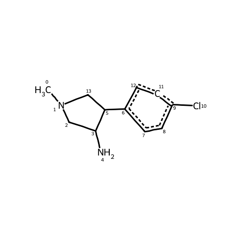 CN1CC(N)C(c2ccc(Cl)cc2)C1